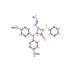 COc1ccc(C(c2ccc(OC)cc2)N2C(=O)C(Sc3ccccc3)C2C=CC(C)=O)cc1